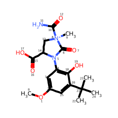 COc1cc(N2C(=O)[N+](C)(C(N)=O)CC2C(=O)O)c(O)c(C(C)(C)C)c1